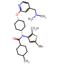 CC1CCC(C(=O)N(c2cc(C(C)(C)C)sc2C(=O)O)[C@H]2CC[C@@H](Oc3cc(CN(C)C)ccn3)CC2)CC1